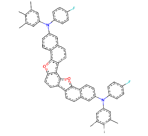 Cc1cc(N(c2ccc(F)cc2)c2ccc3c(ccc4c5ccc6oc7c8ccc(N(c9ccc(F)cc9)c9cc(C)c(C)c(C)c9)cc8ccc7c6c5oc34)c2)cc(C)c1C